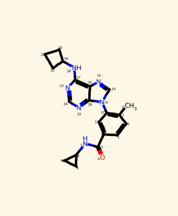 Cc1ccc(C(=O)NC2CC2)cc1-n1cnc2c(NC3CCC3)ncnc21